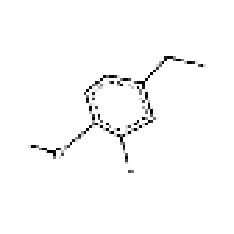 CCc1[c]c(F)c(OC)cc1